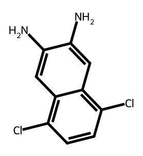 Nc1cc2c(Cl)ccc(Cl)c2cc1N